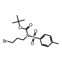 Cc1ccc(S(=O)(=O)N(CCCBr)C(=O)OC(C)(C)C)cc1